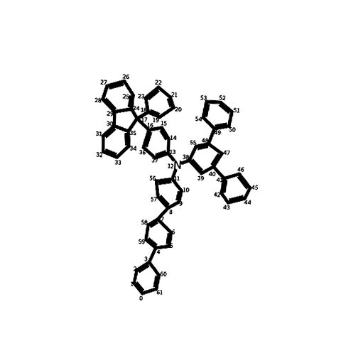 c1ccc(-c2ccc(-c3ccc(N(c4ccc(C5(c6ccccc6)c6ccccc6-c6ccccc65)cc4)c4cc(-c5ccccc5)cc(-c5ccccc5)c4)cc3)cc2)cc1